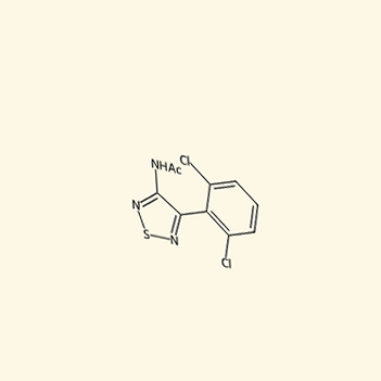 CC(=O)Nc1nsnc1-c1c(Cl)cccc1Cl